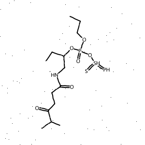 CCCOP(=O)(OC(CC)CNC(=O)CCC(=O)C(C)C)O[SH](=P)=S